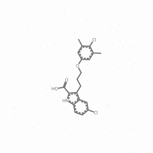 Cc1cc(OCCCc2c(C(=O)O)[nH]c3ccc(Cl)cc23)cc(C)c1Cl